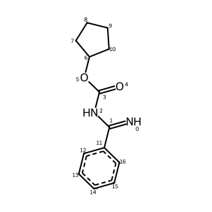 N=C(NC(=O)OC1CCCC1)c1cc[c]cc1